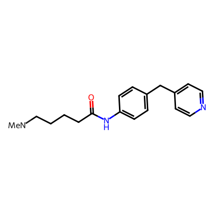 CNCCCCC(=O)Nc1ccc(Cc2ccncc2)cc1